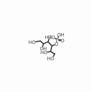 O=P(O)(O)OC(C(O)CO)C(O)C(O)CO